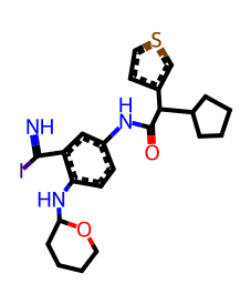 N=C(I)c1cc(NC(=O)C(c2ccsc2)C2CCCC2)ccc1NC1CCCCO1